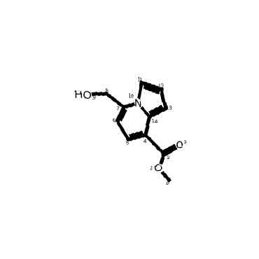 COC(=O)c1ccc(CO)n2cccc12